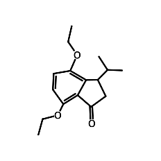 CCOc1ccc(OCC)c2c1C(=O)CC2C(C)C